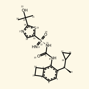 C[C@@H](c1ccc2c(c1NC(=O)N[S@@](=N)(=O)c1cnc(C(C)(C)O)s1)CC2)C1CC1